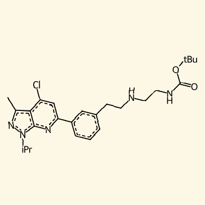 Cc1nn(C(C)C)c2nc(-c3cccc(CCNCCNC(=O)OC(C)(C)C)c3)cc(Cl)c12